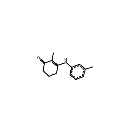 CC1=C(Nc2cccc(C)c2)CCCC1=O